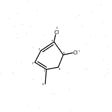 CC1=CC=C(Cl)C(Cl)C1